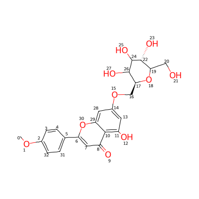 COc1ccc(-c2cc(=O)c3c(O)cc(OC[C@@H]4OC(CO)[C@@H](O)C(O)C4O)cc3o2)cc1